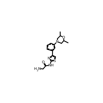 CC1CN(c2cccc(-c3csc(NC(=O)CN)n3)c2)CC(C)O1